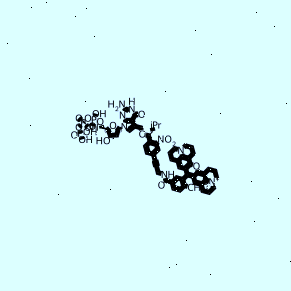 CC(C)C[C@@H](OCc1cn([C@H]2C[C@@H](O)[C@@H](COP(=O)(O)OP(=O)(O)OP(=O)(O)O)O2)c2nc(N)[nH]c(=O)c12)c1ccc(C#CCNC(=O)c2ccc(C=O)c(C3=c4cc5c6c(c4Oc4c3cc3c7c4CCCN7CCC3)CCC[N+]=6CCC5)c2)cc1[N+](=O)[O-]